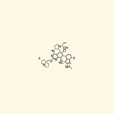 C=CC(O)N1CC[C@@H](N(C)c2nc(OC[C@@]34CCCN3C[C@H](F)C4)nc3c(F)c(-c4ccc(F)c5sc(N)c(C#N)c45)c(Cl)cc23)[C@@H]1C